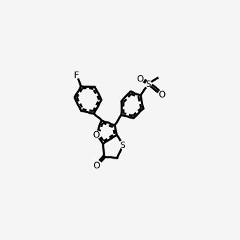 CS(=O)(=O)c1ccc(-c2c(-c3ccc(F)cc3)oc3c2SCC3=O)cc1